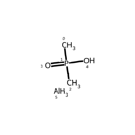 CP(C)(=O)O.[AlH3]